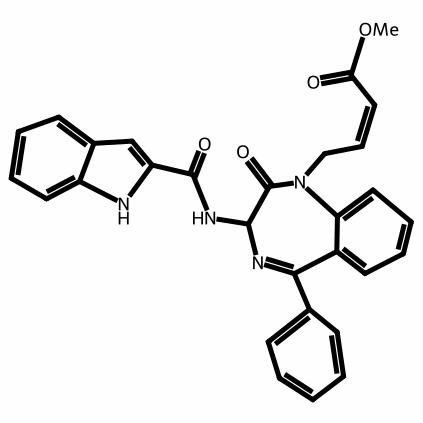 COC(=O)/C=C\CN1C(=O)C(NC(=O)c2cc3ccccc3[nH]2)N=C(c2ccccc2)c2ccccc21